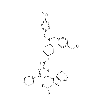 COc1ccc(CN(Cc2ccc(CO)cc2)[C@H]2CC[C@H](CNc3nc(N4CCOCC4)cc(-n4c(C(F)F)nc5ccccc54)n3)CC2)cc1